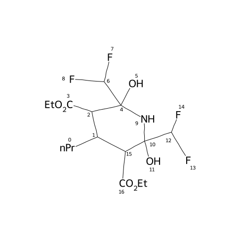 CCCC1C(C(=O)OCC)C(O)(C(F)F)NC(O)(C(F)F)C1C(=O)OCC